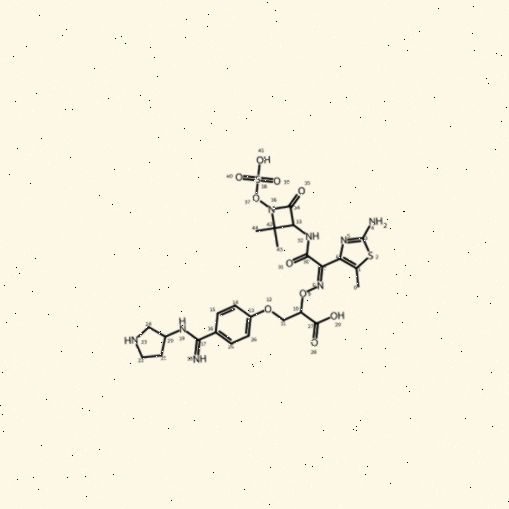 Cc1sc(N)nc1C(=NOC(COc1ccc(C(=N)NC2CCNC2)cc1)C(=O)O)C(=O)NC1C(=O)N(OS(=O)(=O)O)C1(C)C